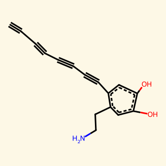 C#CC#CC#CC#Cc1cc(O)c(O)cc1CCN